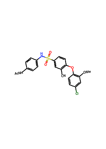 COc1cc(Cl)ccc1Oc1ccc(S(=O)(=O)Nc2ccc(NC(C)=O)cc2)cc1C#N